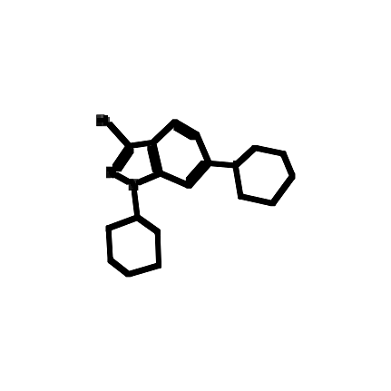 CCc1nn(C2CCCCC2)c2cc([C]3CCCCC3)ccc12